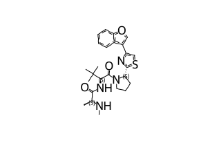 CN[C@@H](C)C(=O)N[C@H](C(=O)N1CCC[C@H]1c1nc(-c2coc3ccccc23)cs1)C(C)(C)C